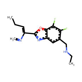 C=N/C(=C\CC)c1nc2cc(CNCC)c(F)c(F)c2o1